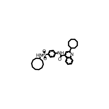 O=C(Nc1ccc(S(=O)(=O)NC2CCCCCCCCC2)cc1)c1cc(C2CCCCCCC2)nc2ccccc12